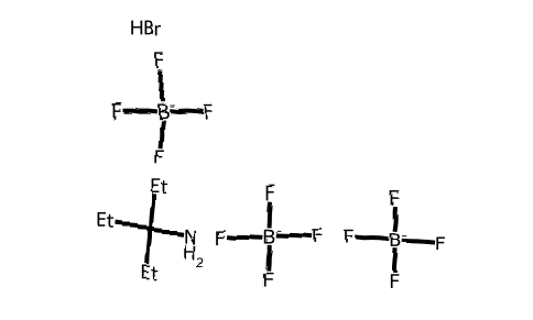 Br.CCC(N)(CC)CC.F[B-](F)(F)F.F[B-](F)(F)F.F[B-](F)(F)F